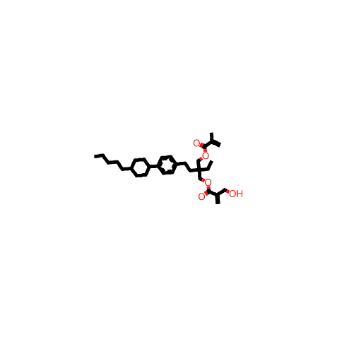 C=C(C)C(=O)OCC(CC)(CCc1ccc(C2CCC(CCCCC)CC2)cc1)COC(=O)C(=C)CO